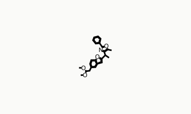 COC(Cc1ccc2oc(C(C)c3nc(-c4ccccc4)oc3C)cc2c1)OC